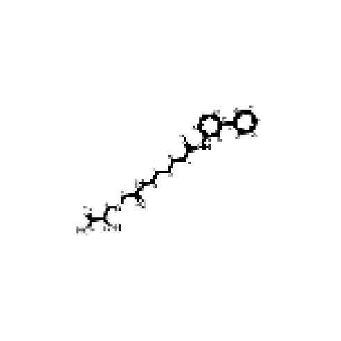 O=C(CSCC(O)C(=O)O)NCCCCCC(=O)Nc1cccc(-c2ccccc2)c1